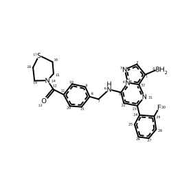 Bc1cnn2c(NCc3ccc(C(=O)N4CCSCC4)cc3)cc(-c3ccccc3F)nc12